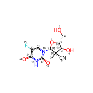 C[C@@]1(C#N)[C@H](O)[C@@H](CO)O[C@H]1n1cc(F)c(=O)[nH]c1=O